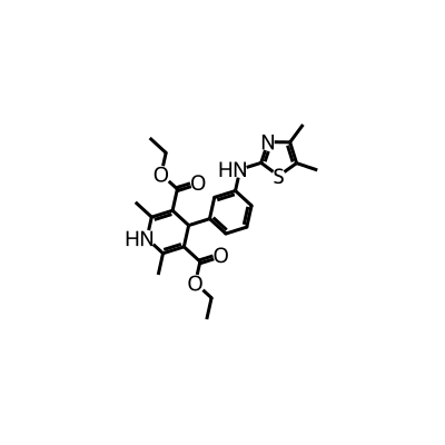 CCOC(=O)C1=C(C)NC(C)=C(C(=O)OCC)C1c1cccc(Nc2nc(C)c(C)s2)c1